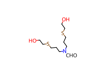 O=CN(CCCSCCO)CCCSCCO